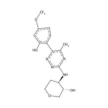 Cc1nc(N[C@@H]2CCOC[C@H]2O)nnc1-c1ccc(OC(F)(F)F)cc1O